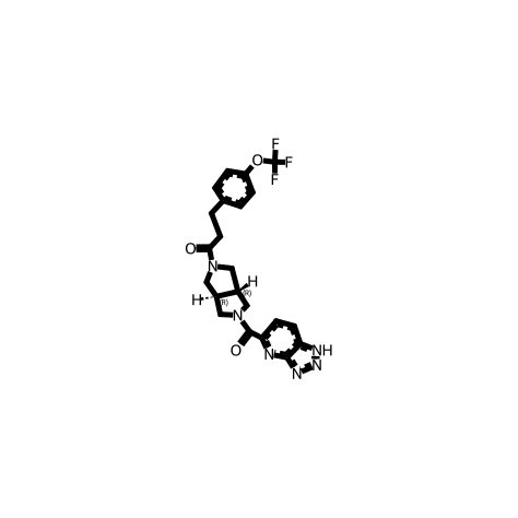 O=C(CCc1ccc(OC(F)(F)F)cc1)N1C[C@@H]2CN(C(=O)c3ccc4[nH]nnc4n3)C[C@H]2C1